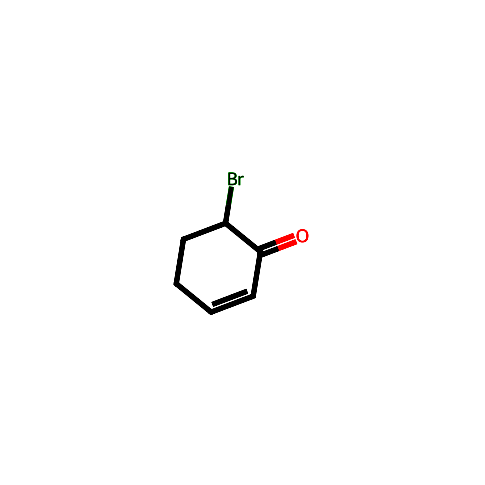 O=C1C=CCCC1Br